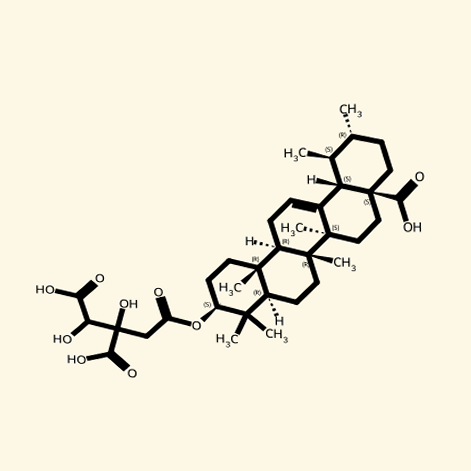 C[C@H]1[C@H](C)CC[C@]2(C(=O)O)CC[C@]3(C)C(=CC[C@@H]4[C@@]5(C)CC[C@H](OC(=O)CC(O)(C(=O)O)C(O)C(=O)O)C(C)(C)[C@@H]5CC[C@]43C)[C@H]12